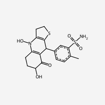 Cc1ccc(C2C3=C(CCS3)N(O)C3=C2C(=O)C(O)CC3)cc1S(N)(=O)=O